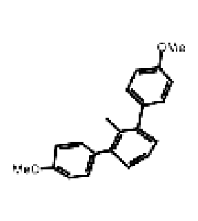 COc1ccc(-c2cccc(-c3ccc(OC)cc3)c2C)cc1